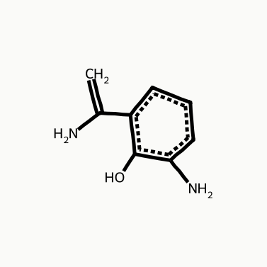 C=C(N)c1cccc(N)c1O